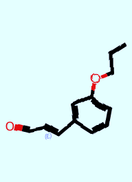 CCCOc1cccc(/C=C/[C]=O)c1